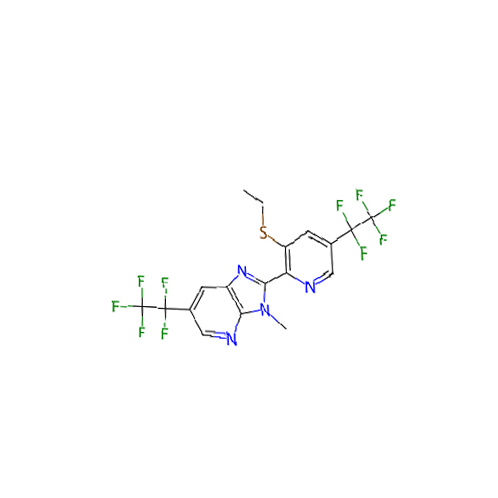 CCSc1cc(C(F)(F)C(F)(F)F)cnc1-c1nc2cc(C(F)(F)C(F)(F)F)cnc2n1C